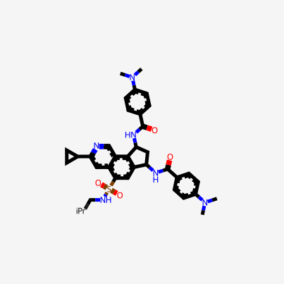 CC(C)CNS(=O)(=O)c1cc2c(c3cnc(C4CC4)cc13)C(NC(=O)c1ccc(N(C)C)cc1)CC2NC(=O)c1ccc(N(C)C)cc1